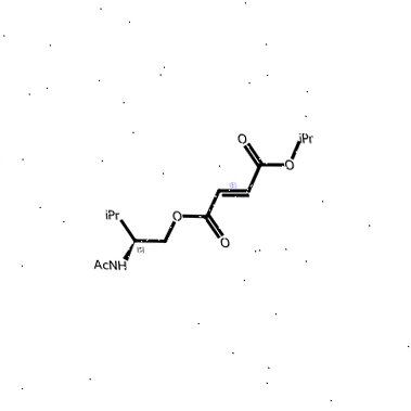 CC(=O)N[C@H](COC(=O)/C=C/C(=O)OC(C)C)C(C)C